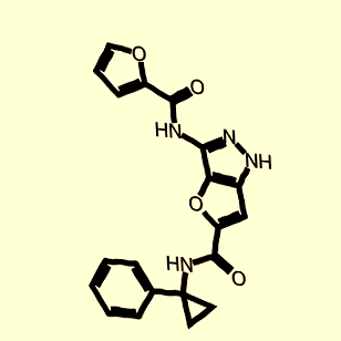 O=C(Nc1n[nH]c2cc(C(=O)NC3(c4ccccc4)CC3)oc12)c1ccco1